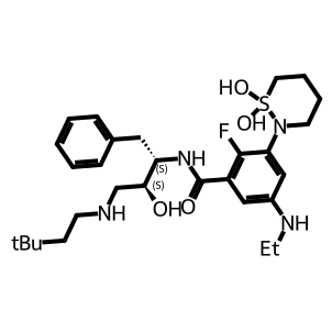 CCNc1cc(C(=O)N[C@@H](Cc2ccccc2)[C@@H](O)CNCCC(C)(C)C)c(F)c(N2CCCCS2(O)O)c1